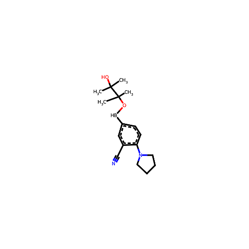 CC(C)(O)C(C)(C)OBc1ccc(N2CCCC2)c(C#N)c1